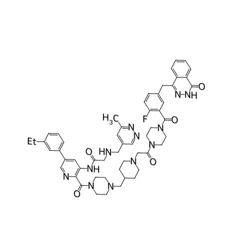 CCc1cccc(-c2cnc(C(=O)N3CCN(CC4CCN(CC(=O)N5CCN(C(=O)c6cc(Cc7n[nH]c(=O)c8ccccc78)ccc6F)CC5)CC4)CC3)c(NC(=O)CNCc3cnnc(C)c3)c2)c1